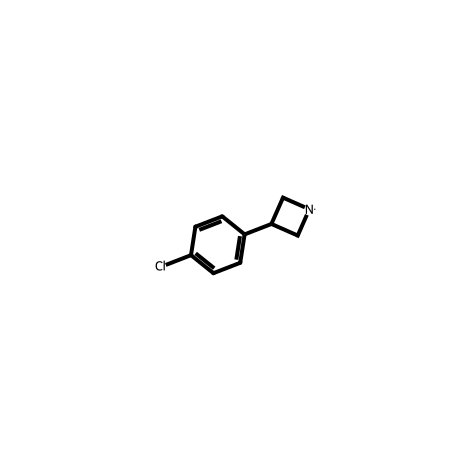 Clc1ccc(C2C[N]C2)cc1